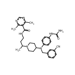 Cc1ncnc(C)c1C(=O)NCCC(C)N1CCC(N(Cc2cccc(C#N)c2)c2ccc(NC(N)=O)cc2)CC1